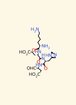 NCCCC[C@H](N)C(=O)N[C@@H](CCC(=O)O)C(=O)N[C@@H](Cc1cnc[nH]1)C(=O)N[C@H](C=O)CC(=O)O